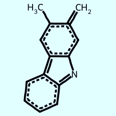 C=c1cc2c(cc1C)=c1ccccc1=N2